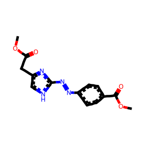 COC(=O)Cc1c[nH]c(/N=N/c2ccc(C(=O)OC)cc2)n1